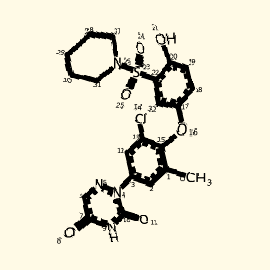 Cc1cc(-n2ncc(=O)[nH]c2=O)cc(Cl)c1Oc1ccc(O)c(S(=O)(=O)N2CCCCC2)c1